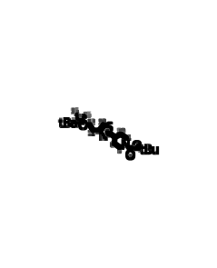 CC(C)(C)OC(=O)N1CCC(c2nc(CCO[Si](C)(C)C(C)(C)C)cs2)CC1